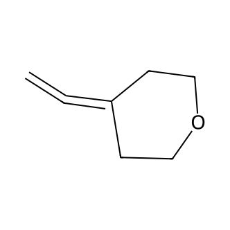 C=C=C1CCOCC1